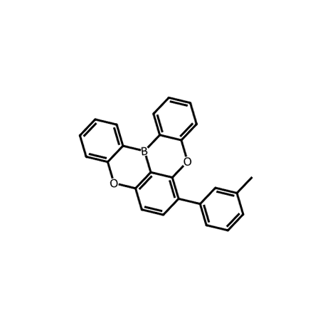 Cc1cccc(-c2ccc3c4c2Oc2ccccc2B4c2ccccc2O3)c1